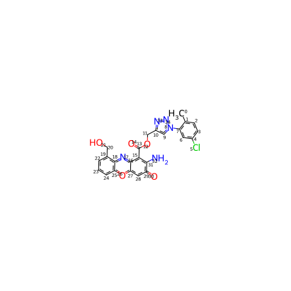 Cc1ccc(Cl)cc1-n1cc(COC(=O)c2c3nc4c(CO)cccc4oc-3cc(=O)c2N)nn1